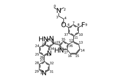 CN(C)CCOc1cc(F)cc(C2=CC=C=Cc3[nH]c(-c4n[nH]c5ccc(-c6ccncc6)nc45)cc32)c1